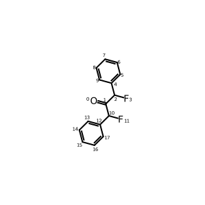 O=C(C(F)c1ccccc1)C(F)c1ccccc1